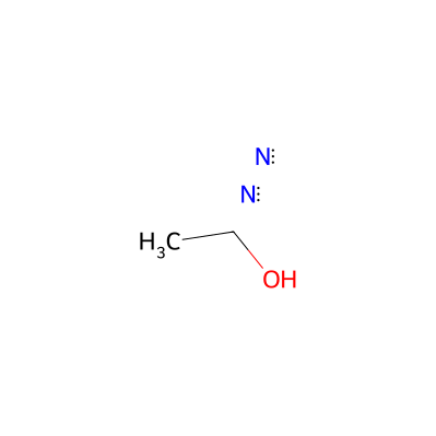 CCO.[N].[N]